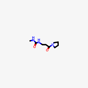 CNC(=O)NCCC(=O)N1CCCC1